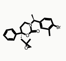 Cc1cc([C@H](C)N2CC[C@](CC3(C)CO3)(c3ccccc3)OC2=O)ccc1Br